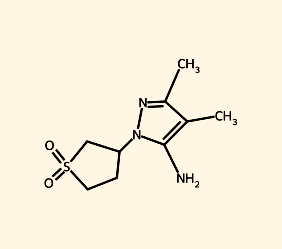 Cc1nn(C2CCS(=O)(=O)C2)c(N)c1C